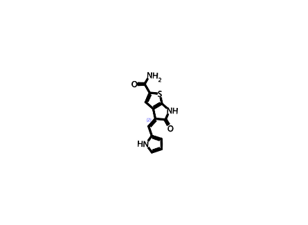 NC(=O)c1cc2c(s1)NC(=O)/C2=C\c1ccc[nH]1